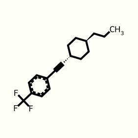 CCC[C@H]1CC[C@H](C#Cc2ccc(C(F)(F)F)cc2)CC1